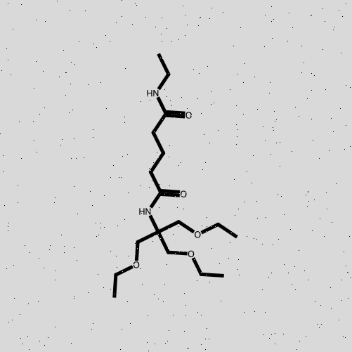 CCNC(=O)CCCC(=O)NC(COCC)(COCC)COCC